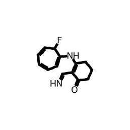 N=CC1=C(NC2=CC=CC=CC2F)CCCC1=O